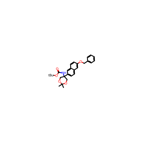 CC(C)(C)OC(=O)NC1(c2ccc3cc(OCc4ccccc4)ccc3c2)COC(C)(C)OC1